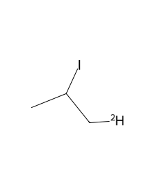 [2H]CC(C)I